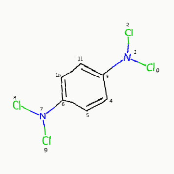 ClN(Cl)c1ccc(N(Cl)Cl)cc1